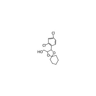 OCC1OC2(CCCCC2)OC1c1ccc(Cl)cc1Cl